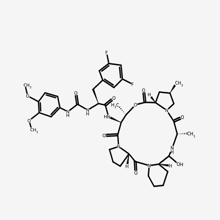 COc1ccc(NC(=O)N[C@@H](Cc2cc(F)cc(F)c2)C(=O)N[C@@H]2C(=O)N3CCC[C@H]3C(=O)N3CCCC[C@H]3C(O)N[C@@H](C)C(=O)N3C[C@H](C)C[C@H]3C(=O)O[C@H]2C)cc1OC